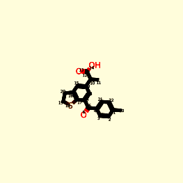 Cc1ccc(C(=O)c2cc(C(C)C(=O)O)cc3c2SCC3)cc1